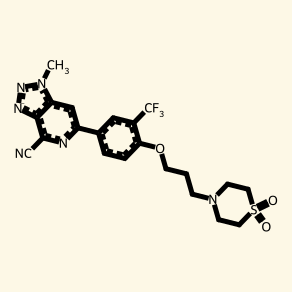 Cn1nnc2c(C#N)nc(-c3ccc(OCCCN4CCS(=O)(=O)CC4)c(C(F)(F)F)c3)cc21